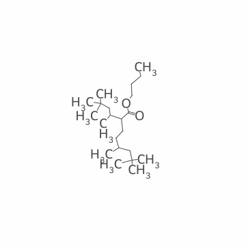 CCCCOC(=O)C(CCC(C)CC(C)(C)C)C(C)CC(C)(C)C